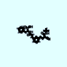 CC(C)(C)NC(=O)C(C#N)CCc1cccc(CCC(=O)N[C@@H](Cc2ccccc2)B(O)O)c1